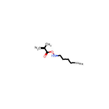 C=C(C)C(=O)ONCCCCCCCCCC